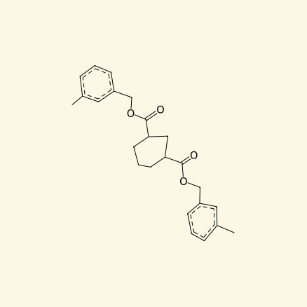 Cc1cccc(COC(=O)C2CCCC(C(=O)OCc3cccc(C)c3)C2)c1